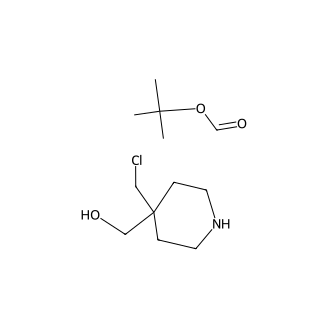 CC(C)(C)OC=O.OCC1(CCl)CCNCC1